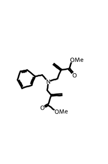 C=C(CN(CC(=C)C(=O)OC)Cc1ccccc1)C(=O)OC